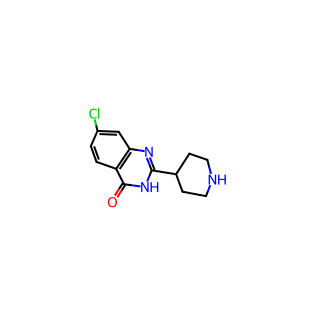 O=c1[nH]c(C2CCNCC2)nc2cc(Cl)ccc12